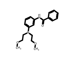 COCCN(CCOC)c1cccc(NC(=O)c2ccccc2)c1